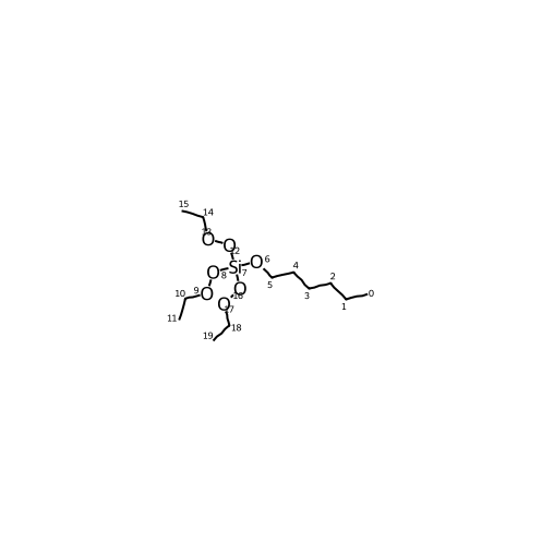 CCCCCCO[Si](OOCC)(OOCC)OOCC